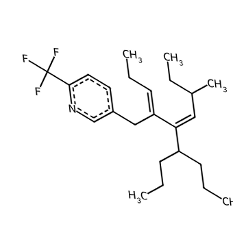 CC/C=C(Cc1ccc(C(F)(F)F)nc1)/C(=C\C(C)CC)C(CCC)CCC